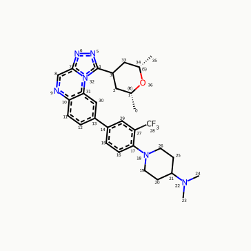 C[C@@H]1CC(c2nnc3cnc4ccc(-c5ccc(N6CCC(N(C)C)CC6)c(C(F)(F)F)c5)cc4n23)C[C@H](C)O1